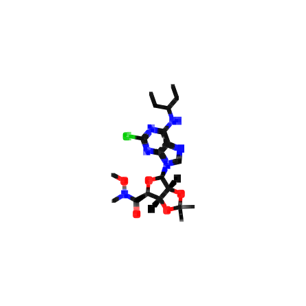 CCC(CC)Nc1nc(Cl)nc2c1ncn2[C@@H]1O[C@H](C(=O)N(C)OC)[C@H]2OC(C)(C)O[C@H]21